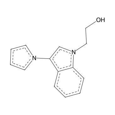 OCCn1cc(-n2cccc2)c2ccccc21